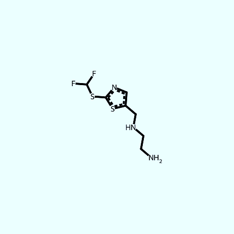 NCCNCc1cnc(SC(F)F)s1